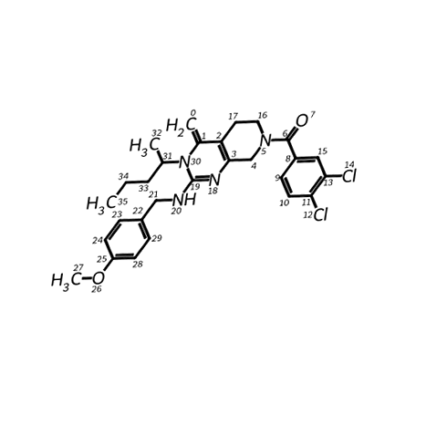 C=C1C2=C(CN(C(=O)c3ccc(Cl)c(Cl)c3)CC2)N=C(NCc2ccc(OC)cc2)N1C(C)CCC